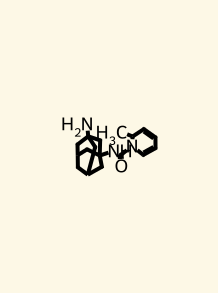 CC1C=CC=CN1C(=O)NC12CC3CC(CC(N)(C3)C1)C2